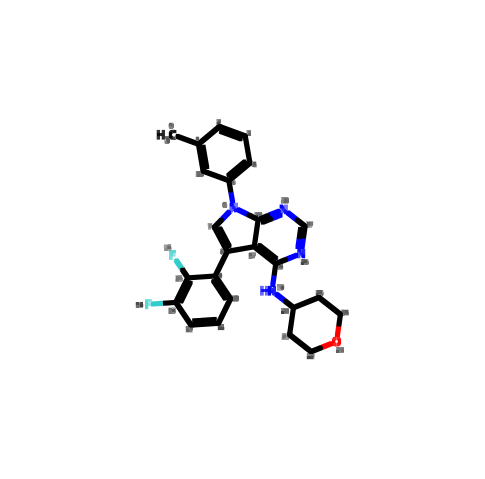 Cc1cccc(-n2cc(-c3cccc(F)c3F)c3c(NC4CCOCC4)ncnc32)c1